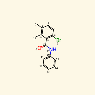 Cc1ccc(Br)c(C(=O)Nc2ccccc2)c1C